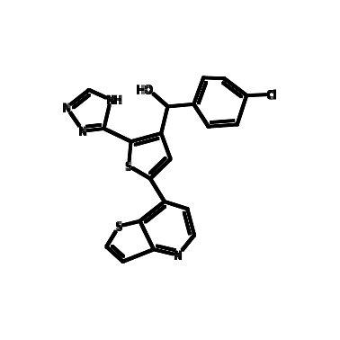 OC(c1ccc(Cl)cc1)c1cc(-c2ccnc3ccsc23)sc1-c1nnc[nH]1